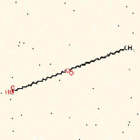 CCCCCCCCC=CCCCCCCCCCCCCCC(=O)OCCCCCCCCCCCCCCCCCCCCCC(=O)O